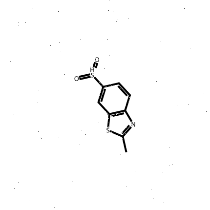 Cc1nc2ccc([SH](=O)=O)cc2s1